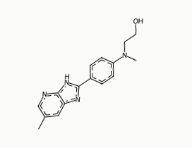 Cc1cnc2[nH]c(-c3ccc(N(C)CCO)cc3)nc2c1